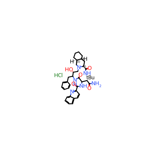 CC(C)(C)NC(=O)[C@@H]1C[C@@H]2CCCC[C@@H]2CN1CC(O)C(Cc1ccccc1)NC(=O)C(CC(N)=O)NC(=O)c1ccc2ccccc2n1.Cl